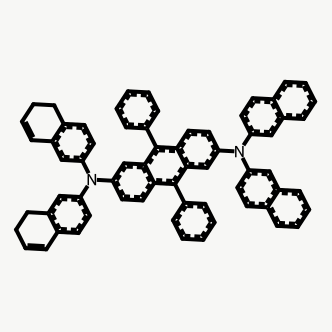 C1=Cc2cc(N(c3ccc4c(c3)CCC=C4)c3ccc4c(-c5ccccc5)c5cc(N(c6ccc7ccccc7c6)c6ccc7ccccc7c6)ccc5c(-c5ccccc5)c4c3)ccc2CC1